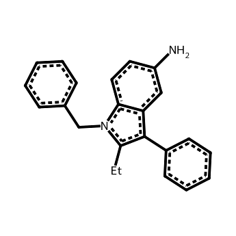 [CH2]Cc1c(-c2ccccc2)c2cc(N)ccc2n1Cc1ccccc1